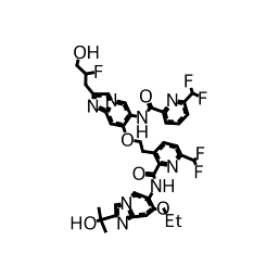 CCOc1cc2nc(C(C)(C)O)cn2cc1NC(=O)c1nc(C(F)F)ccc1CCOc1cc2nc(CC(F)CO)cn2cc1NC(=O)c1cccc(C(F)F)n1